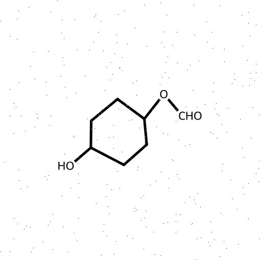 O=COC1CCC(O)CC1